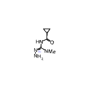 CN/C(=N\N)NC(=O)C1CC1